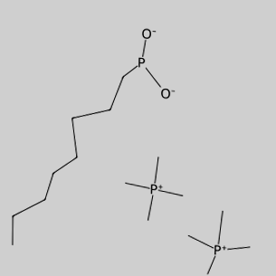 CCCCCCCCP([O-])[O-].C[P+](C)(C)C.C[P+](C)(C)C